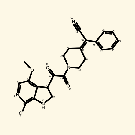 COc1cnc(Cl)c2c1C(C(=O)C(=O)N1CCC(=C(C#N)c3ccccc3)CC1)CN2